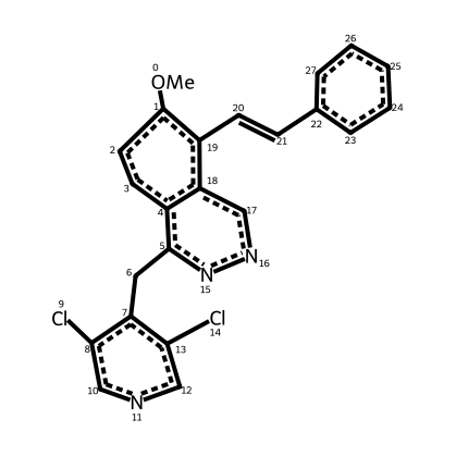 COc1ccc2c(Cc3c(Cl)cncc3Cl)nncc2c1C=Cc1ccccc1